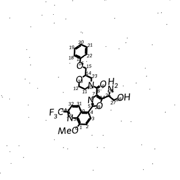 COc1ccc(-c2nc(C(=O)N3CCOC(COc4ccccc4)C3)c([C@@H](N)CO)o2)c2ccc(C(F)(F)F)nc12